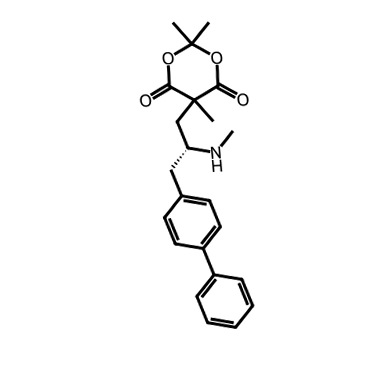 CN[C@H](Cc1ccc(-c2ccccc2)cc1)CC1(C)C(=O)OC(C)(C)OC1=O